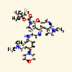 CN(C)Cc1cc(Nc2cnc(-c3ccnc4c3ccn4C)c3c2CN(C(=O)OC(C)(C)C)C3=O)ccc1N1CCOCC1